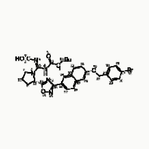 CC(C)(C)OC(=O)N/C(=N/C(=O)O)N1CCC[C@H]1c1nc(-c2ccc3cc(OCc4ccc(Br)cc4)ccc3c2)no1